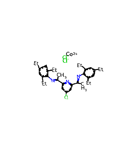 CCc1cc(CC)c(N=C(C)c2cc(Cl)cc(C(C)=Nc3c(CC)cc(CC)cc3CC)n2)c(CC)c1.[Cl-].[Cl-].[Co+2]